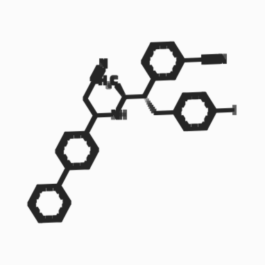 C[C@H](NC(CC#N)c1ccc(-c2ccccc2)cc1)[C@@H](Cc1ccc(I)cc1)c1cccc(C#N)c1